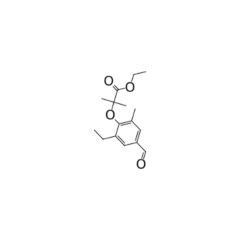 CCOC(=O)C(C)(C)Oc1c(C)cc(C=O)cc1CC